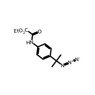 CCOC(=O)C(=O)Nc1ccc(C(C)(C)N=[N+]=[N-])cc1